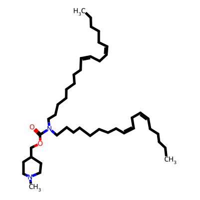 CCCCC/C=C\C/C=C\CCCCCCCCN(CCCCCCCC/C=C\C/C=C\CCCCC)C(=O)OCC1CCN(C)CC1